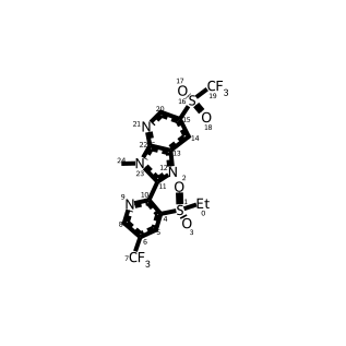 CCS(=O)(=O)c1cc(C(F)(F)F)cnc1-c1nc2cc(S(=O)(=O)C(F)(F)F)cnc2n1C